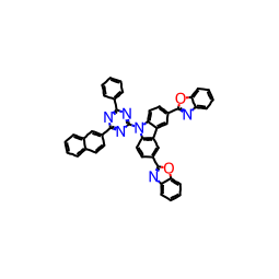 c1ccc(-c2nc(-c3ccc4ccccc4c3)nc(-n3c4ccc(-c5nc6ccccc6o5)cc4c4cc(-c5nc6ccccc6o5)ccc43)n2)cc1